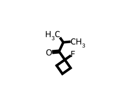 CC(C)C(=O)C1(F)CCC1